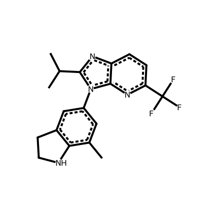 Cc1cc(-n2c(C(C)C)nc3ccc(C(F)(F)F)nc32)cc2c1NCC2